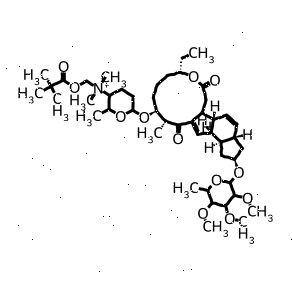 CC[C@H]1CCC[C@H](OC2CCC([N+](C)(C)COC(=O)C(C)(C)C)C(C)O2)[C@@H](C)C(=O)C2=C[C@@H]3[C@@H](C=C[C@@H]4C[C@@H](OC5OC(C)C(OC)C(OC)C5OC)C[C@@H]34)[C@@H]2CC(=O)O1